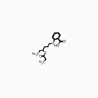 C=CC(=O)OC(CC)CCCOc1ccccc1C(=O)O